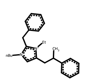 CCCCn1cc(CC(C)c2ccccc2)[n+](CC)c1Cc1ccccc1